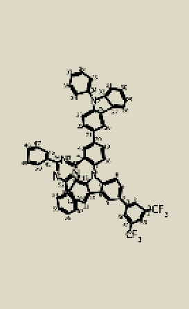 FC(F)(F)c1cc(-c2ccc3c(c2)c2ccccc2n3-c2ccc(-c3ccc4c(c3)c3ccccc3n4-c3ccccc3)cc2-c2nc(-c3ccccc3)nc(-c3ccccc3)n2)cc(C(F)(F)F)c1